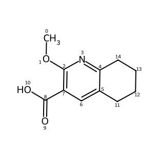 COc1nc2c(cc1C(=O)O)CCCC2